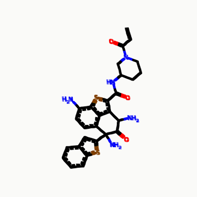 C=CC(=O)N1CCCC(NC(=O)c2sc3c(N)ccc4c3c2C(N)C(=O)C4(N)c2cc3ccccc3s2)C1